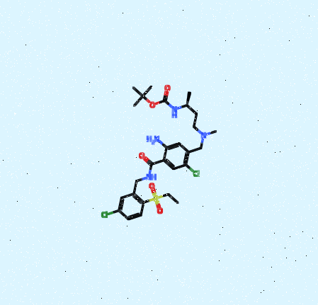 CCS(=O)(=O)c1ccc(Cl)cc1CNC(=O)c1cc(Cl)c(CN(C)CC[C@H](C)NC(=O)OC(C)(C)C)cc1N